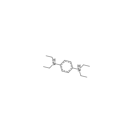 CC[SiH](CC)c1ccc([SiH](CC)CC)cc1